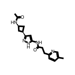 CC(=O)N[C@H]1C[C@@H](c2cc(NC(=O)CCc3ccc(C)cn3)[nH]n2)C1